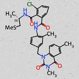 CSC[C@H](C)NC(=O)c1c(Cl)cccc1C(=O)Nc1ccc(Cn2c(=O)n(C)c(=O)c3cc(C)ccc32)cc1C